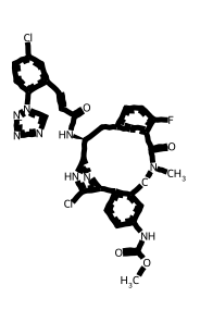 COC(=O)Nc1ccc2c(c1)CN(C)C(=O)c1cc(ccc1F)C[C@H](NC(=O)/C=C/c1cc(Cl)ccc1-n1cnnn1)c1nc-2c(Cl)[nH]1